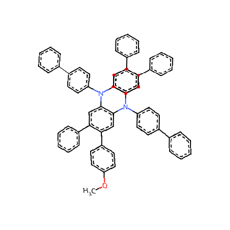 COc1ccc(-c2cc(N(c3ccc(-c4ccccc4)cc3)c3ccc(-c4ccccc4)cc3)c(N(c3ccc(-c4ccccc4)cc3)c3ccc(-c4ccccc4)cc3)cc2-c2ccccc2)cc1